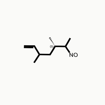 C=CC(C)C[C@H](C)C(C)N=O